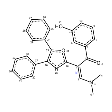 CN(C)/C=C(\C(=O)c1cccc(O)c1)c1nc(-c2ccccc2)c(-c2ccccc2)o1